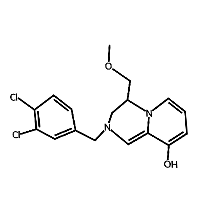 COCC1CN(Cc2ccc(Cl)c(Cl)c2)C=C2C(O)=CC=CN21